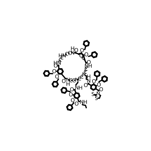 CCCNC(=O)c1ccc(C(=O)NCCN2CCNC(=O)c3ccc(c(OCc4ccccc4)c3OCc3ccccc3)C(=O)NCCNCCNC(=O)c3ccc(c(OCc4ccccc4)c3OCc3ccccc3)C(=O)NCCN(CCNC(=O)c3ccc(C(=O)N4CCSC4=S)c(OCc4ccccc4)c3OCc3ccccc3)CC2)c(OCc2ccccc2)c1OCc1ccccc1